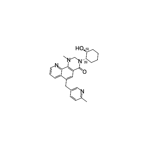 Cc1ccc(Cc2cc3c(c4ncccc24)N(C)CN([C@H]2CCCC[C@@H]2O)C3=O)cn1